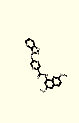 COc1ccc2cc(C)cc(NC(=O)c3cnc(On4nnc5cccnc54)cn3)c2n1